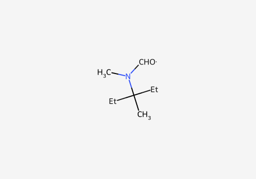 CCC(C)(CC)N(C)[C]=O